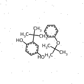 CC(C)(C)Oc1ccccc1.CC(C)(C)c1cc(O)ccc1O